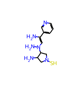 N/C(=C\N(N)C1CN(S)CC1N)c1cccnc1